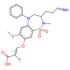 CSc1cc2c(cc1O/C=C(\F)C(=O)O)S(=O)(=O)N(C)C(CCC=N)CN2c1ccccc1